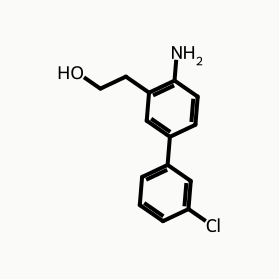 Nc1ccc(-c2cccc(Cl)c2)cc1CCO